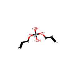 C=CCO[Si](O)(O)OCC=C